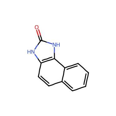 O=c1[nH]c2ccc3ccccc3c2[nH]1